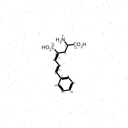 NC(C/C(=C\C=C\c1ccccc1)C(=O)O)C(=O)O